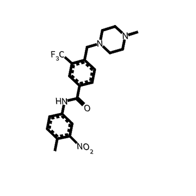 Cc1ccc(NC(=O)c2ccc(CN3CCN(C)CC3)c(C(F)(F)F)c2)cc1[N+](=O)[O-]